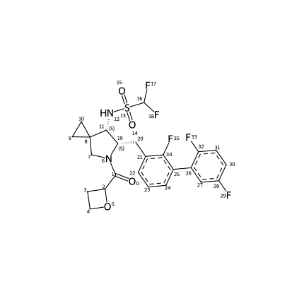 O=C(C1CCO1)N1CC2(CC2)[C@H](NS(=O)(=O)C(F)F)[C@@H]1Cc1cccc(-c2cc(F)ccc2F)c1F